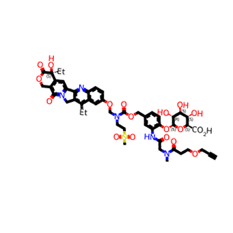 C#CCOCCC(=O)N(C)CC(=O)Nc1cc(COC(=O)N(CCS(C)(=O)=O)COc2ccc3nc4c(c(CC)c3c2)Cn2c-4cc3c(c2=O)COC(=O)[C@]3(O)CC)ccc1O[C@@H]1O[C@H](C(=O)O)[C@@H](O)[C@H](O)[C@H]1O